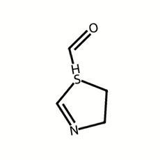 O=C[SH]1C=NCC1